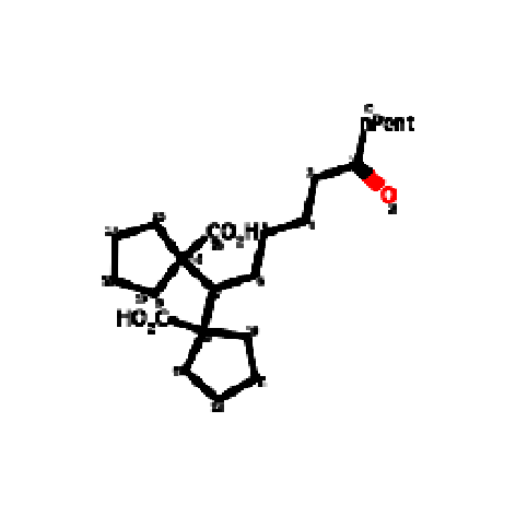 CCCCCC(=O)CCCCC(C1(C(=O)O)CCCC1)C1(C(=O)O)CCCC1